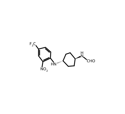 O=CN[C@H]1CC[C@H](Nc2ccc(C(F)(F)F)cc2[N+](=O)[O-])CC1